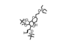 CC[Si](CC)(CC)OCCC1CC[C@@H]2OC([C@H](/C=C/I)O[Si](C)(C)C(C)(C)C)C(O[Si](C)(C)C(C)(C)C)[C@@H](O)C2O1